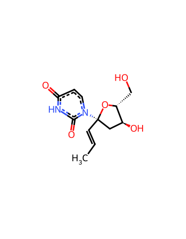 CC=C[C@]1(n2ccc(=O)[nH]c2=O)C[C@H](O)[C@@H](CO)O1